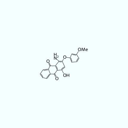 COc1cccc(Oc2cc(O)c3c(c2N)C(=O)c2ccccc2C3=O)c1